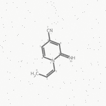 C/C=C\n1ccc(C#N)cc1=N